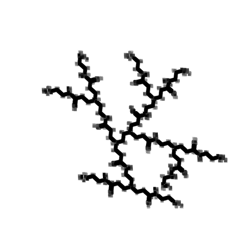 NCCNC(=O)CCN(CCNC(=O)CCN(CCC(=O)NCCN(CCC(=O)NCCN)CCC(=O)NCCN)CCN(CCC(=O)NCCN(CCC(=O)NCCN)CCC(=O)NCCN)CCC(=O)NCCN(CCC(=O)NCCN)CCC(=O)ONCN)CCC(=O)NCCN